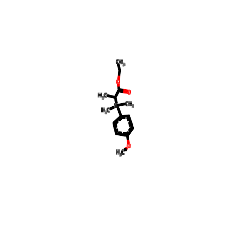 CCOC(=O)C(C)[Si](C)(C)c1ccc(OC)cc1